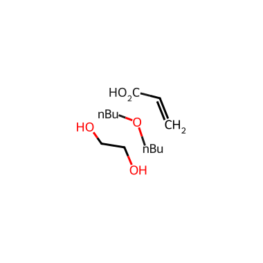 C=CC(=O)O.CCCCOCCCC.OCCO